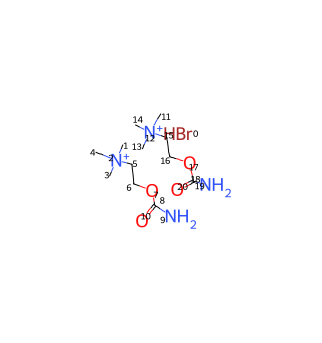 Br.C[N+](C)(C)CCOC(N)=O.C[N+](C)(C)CCOC(N)=O